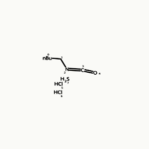 CCCCCN=C=O.Cl.Cl.S